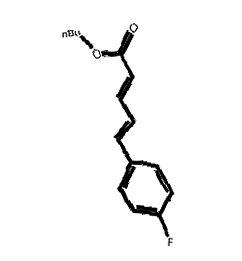 CCCCOC(=O)C=CC=Cc1ccc(F)cc1